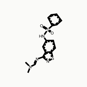 CN(C)/C=N/c1nsc2ccc(NS(=O)(=O)c3ccccc3)cc12